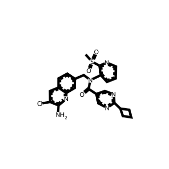 CS(=O)(=O)c1ncccc1N(Cc1ccc2cc(Cl)c(N)nc2c1)C(=O)c1cnc(C2CCC2)nc1